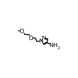 COCCOCCn1cc(N)cn1